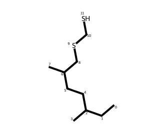 CCC(C)CCC(C)CSCS